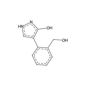 OCc1ccccc1-c1c[nH]nc1O